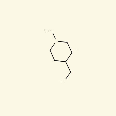 CON1CCC(CO)CC1.Cl